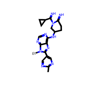 CCn1c(-c2cnc(C)nc2)nc2c(NC3CCC(=N)N(C(=N)C4CC4)C3)ncnc21